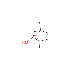 CC12CCC(C)(O1)C(O)C2